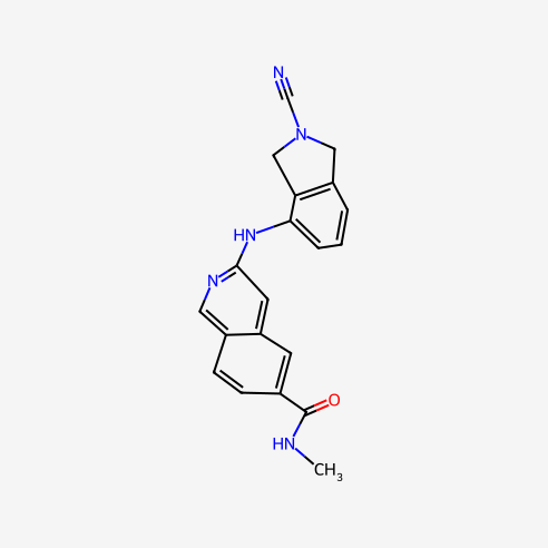 CNC(=O)c1ccc2cnc(Nc3cccc4c3CN(C#N)C4)cc2c1